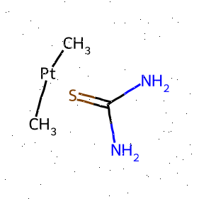 NC(N)=S.[CH3][Pt][CH3]